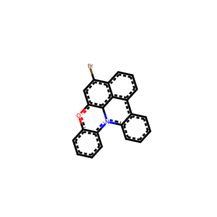 Brc1cc2oc3ccccc3n3c4ccccc4c4cccc1c4c2-3